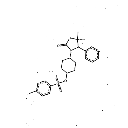 Cc1ccc(S(=O)(=O)OC2CCC(N3C(=O)OC(C)(C)C3c3ccccc3)CC2)cc1